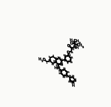 CCN1CCc2nc(-c3cccc(OCC(=O)NC(C)(C)C)c3)nc(Nc3ccc(-c4cn[nH]c4)cc3)c2C1